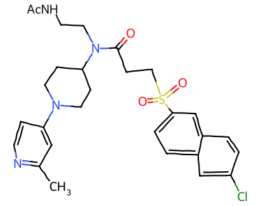 CC(=O)NCCN(C(=O)CCS(=O)(=O)c1ccc2cc(Cl)ccc2c1)C1CCN(c2ccnc(C)c2)CC1